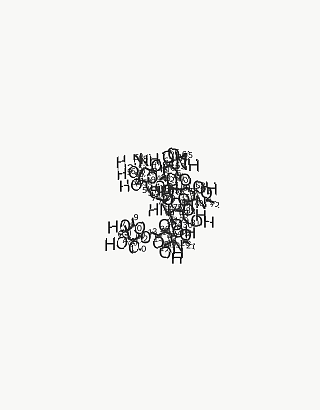 CO[C@@H]1C(O)[C@](C)(O)C(C)O[C@H]1OCC1O[C@@H](O)C(NC(C)=O)[C@@H](O)[C@@H]1O[C@@H]1OC(CO)[C@@H](O[C@@H]2OC(CO)[C@@H](O[C@@H]3OC(CO)[C@@H](O[C@@H]4OC(CO)[C@@H](O)[C@H](O)C4NN)[C@H](O)C3NC(C)=O)[C@H](O)C2NC(C)=O)C(O)[C@@H]1NC(C)=O